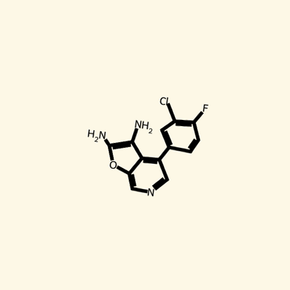 Nc1oc2cncc(-c3ccc(F)c(Cl)c3)c2c1N